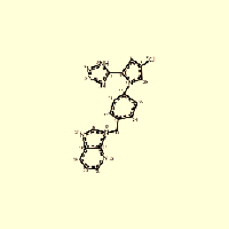 Clc1cc(-c2nnn[nH]2)n(-c2ccc(Cn3cnc4cccnc43)cc2)c1